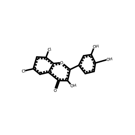 O=c1c(O)c(-c2ccc(O)c(O)c2)oc2c(Cl)cc(Cl)cc12